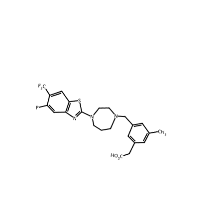 Cc1cc(CC(=O)O)cc(CN2CCCN(c3nc4cc(F)c(C(F)(F)F)cc4s3)CC2)c1